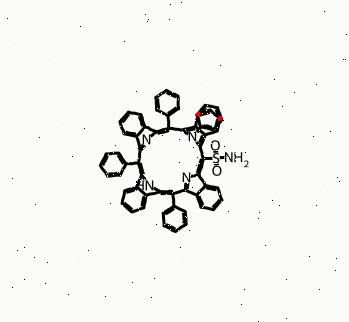 NS(=O)(=O)c1c2nc(c(-c3ccccc3)c3[nH]c(c(-c4ccccc4)c4nc(c(-c5ccccc5)c5c6ccccc6c1n5-c1ccccc1)-c1ccccc1-4)c1ccccc31)-c1ccccc1-2